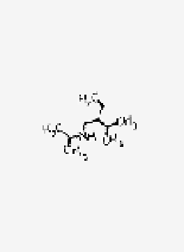 CC[C@H](CNC(C)C)C(C)C